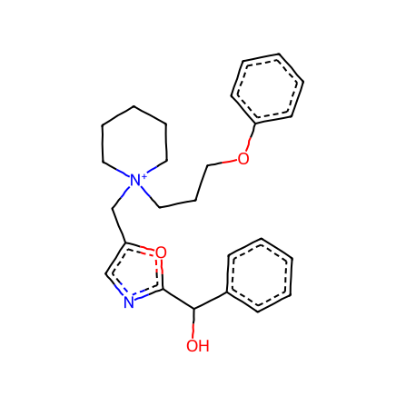 OC(c1ccccc1)c1ncc(C[N+]2(CCCOc3ccccc3)CCCCC2)o1